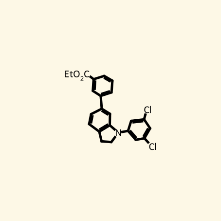 CCOC(=O)c1cccc(-c2ccc3c(c2)N(c2cc(Cl)cc(Cl)c2)CC3)c1